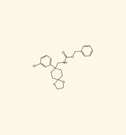 O=C(NCC1(c2cccc(Cl)c2)CCC2(CC1)OCCO2)OCc1ccccc1